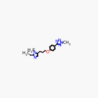 CCc1ncc(CCCOc2ccc(-c3nnn(C)n3)cc2)n1C